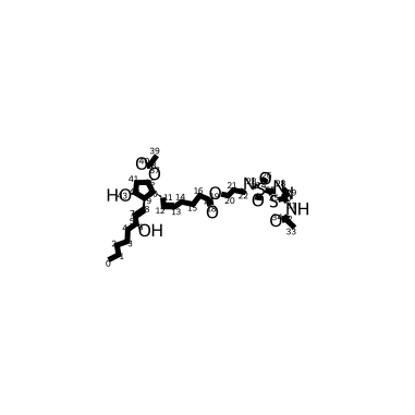 CCCCC[C@H](O)/C=C/[C@@H]1[C@@H](C/C=C\CCCC(=O)OCC/C=N/S(=O)(=O)c2nnc(NC(C)=O)s2)[C@@H](OC(C)=O)C[C@H]1O